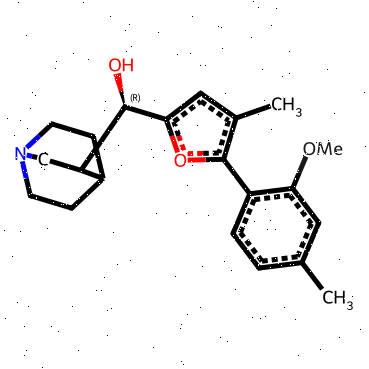 COc1cc(C)ccc1-c1oc([C@H](O)C2CN3CCC2CC3)cc1C